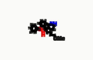 COCCCC[C@@](O)(c1ccccc1Oc1ccccc1)[C@@H]1CCCNC1